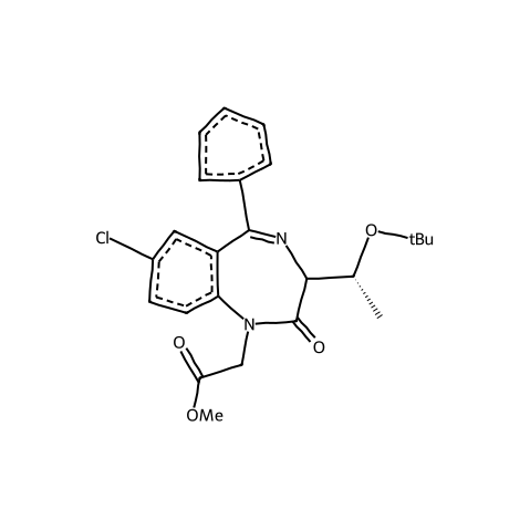 COC(=O)CN1C(=O)C([C@@H](C)OC(C)(C)C)N=C(c2ccccc2)c2cc(Cl)ccc21